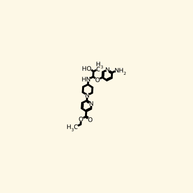 CCOC(=O)c1ccc(N2CCC(NC(Oc3ccc(N)nc3)C(C)O)CC2)nc1